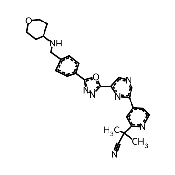 CC(C)(C#N)c1cc(-c2cncc(-c3nnc(-c4ccc(CNC5CCOCC5)cc4)o3)n2)ccn1